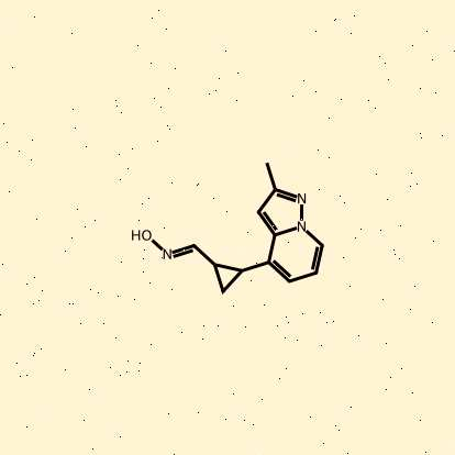 Cc1cc2c(C3CC3/C=N/O)cccn2n1